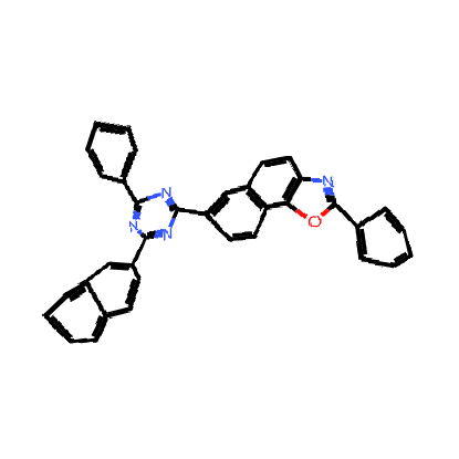 c1ccc(-c2nc(-c3ccc4ccccc4c3)nc(-c3ccc4c(ccc5nc(-c6ccccc6)oc54)c3)n2)cc1